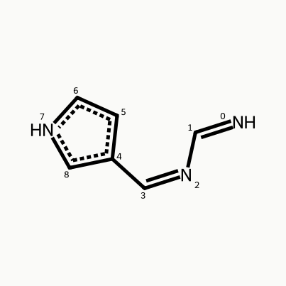 N=C/N=C\c1cc[nH]c1